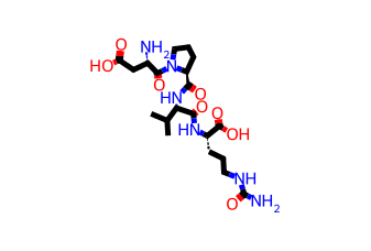 CC(C)[C@H](NC(=O)[C@@H]1CCCN1C(=O)[C@@H](N)CC(=O)O)C(=O)N[C@@H](CCCNC(N)=O)C(=O)O